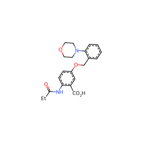 CCC(=O)Nc1ccc(OCc2ccccc2N2CCOCC2)cc1C(=O)O